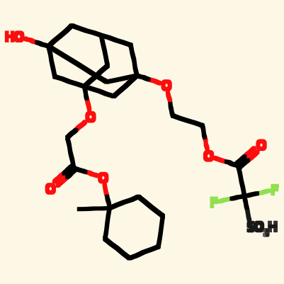 CC1(OC(=O)COC23CC4CC(O)(CC(OCCOC(=O)C(F)(F)S(=O)(=O)O)(C4)C2)C3)CCCCC1